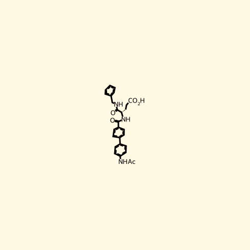 CC(=O)Nc1ccc(-c2ccc(C(=O)N[C@@H](CCC(=O)O)C(=O)NCc3ccccc3)cc2)cc1